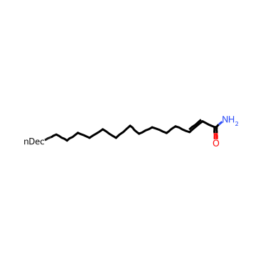 CCCCCCCCCCCCCCCCCCCCCC=CC(N)=O